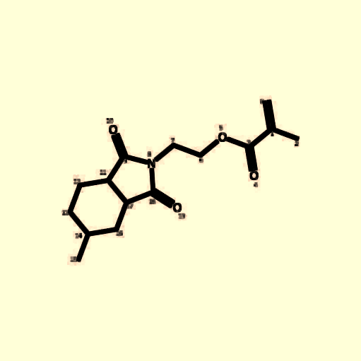 C=C(C)C(=O)OCCN1C(=O)C2CCC(C)CC2C1=O